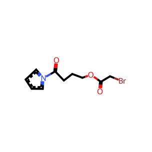 O=C(CBr)OCCCC(=O)n1cccc1